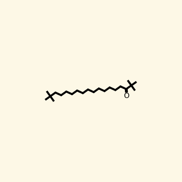 CC(C)(C)CCCCCCCCCCCCCC(=O)C(C)(C)C